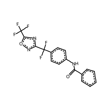 O=C(Nc1ccc(C(F)(F)c2noc(C(F)(F)F)n2)cc1)c1ccccc1